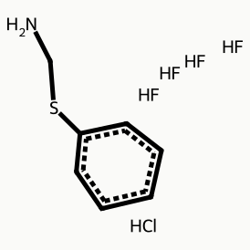 Cl.F.F.F.F.NCSc1ccccc1